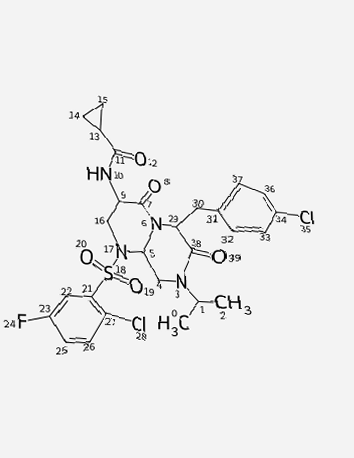 CC(C)N1CC2N(C(=O)C(NC(=O)C3CC3)CN2S(=O)(=O)c2cc(F)ccc2Cl)C(Cc2ccc(Cl)cc2)C1=O